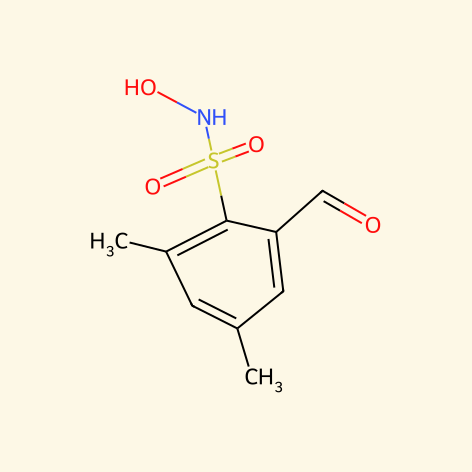 Cc1cc(C)c(S(=O)(=O)NO)c(C=O)c1